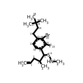 C=CCC(C)C(SNC)c1ccc(CCC(C)(C)C)c(Br)c1F